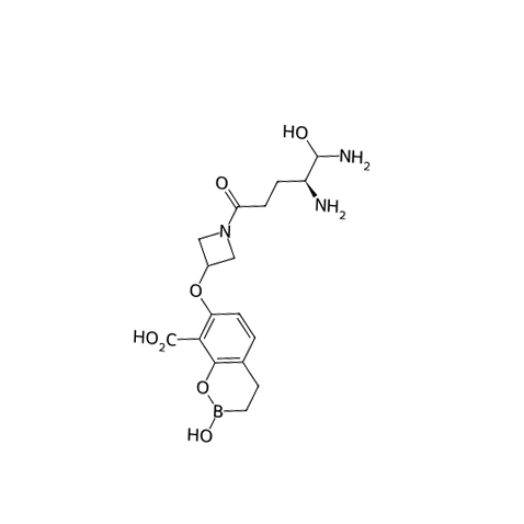 NC(O)[C@@H](N)CCC(=O)N1CC(Oc2ccc3c(c2C(=O)O)OB(O)CC3)C1